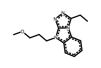 CCc1nnc2n(CCCOC)c3ccccc3n12